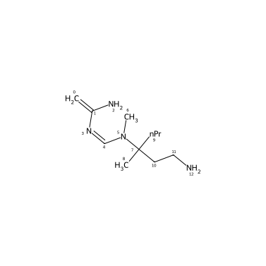 C=C(N)/N=C\N(C)C(C)(CCC)CCN